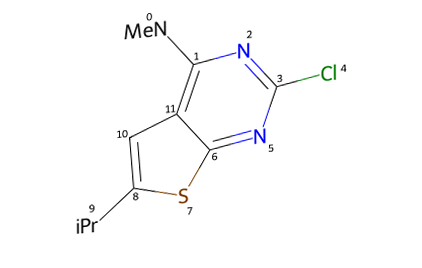 CNc1nc(Cl)nc2sc(C(C)C)cc12